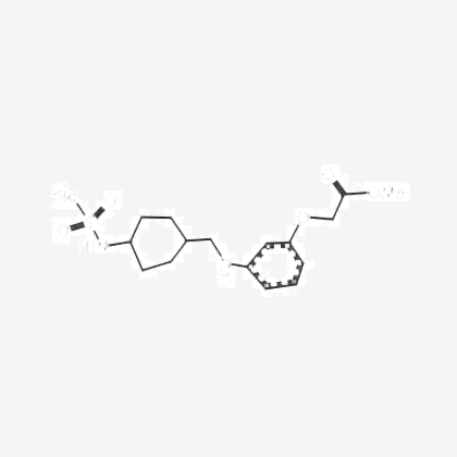 COC(=O)COc1cccc(NCC2CCC(NS(=O)(=O)C(C)(C)C)CC2)c1